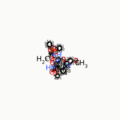 C=C[C@@H]1C[C@]1(NC(=O)[C@@H]1C[C@@H](Oc2cc(-c3ccccc3)nc3cc(OC)ccc23)CN1C(=O)[C@@H](NC(=O)OC1CCCC1)C(C)(C)C)P(=O)(Oc1ccccc1)Oc1ccccc1